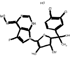 CO/N=c1\nc[nH]c2c1c(F)cn2C1OC(C(C)(O)c2ccc(Cl)c(Cl)c2)C(O)C1O.Cl